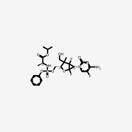 CC(C)OC(=O)[C@H](C)NP(=O)(OC[C@H]1OC2(F)[C@@H](n3cc(F)c(N)nc3=O)C2(F)C1(C)CO)Oc1ccccc1